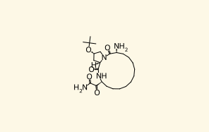 CC(C)(C)O[C@@H]1C[C@H]2C(=O)N[C@H](C(=O)C(N)=O)CCCCCCCCCC[C@H](N)C(=O)N2C1